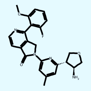 COc1cccc(F)c1-c1nccc2c1CN(c1cc(C)cc([C@@H]3COC[C@H]3N)n1)C2=O